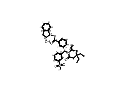 CCC1(CC)CC(=O)N([C@H](c2cccc(C(=O)N[C@@H]3c4ccccc4C[C@H]3O)c2)c2cccc(S(C)(=O)=O)c2)C(=N)N1